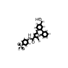 Cc1cc(C(=O)Nc2ccc(S(C)(=O)=O)cc2)c(C)n1-c1ccccc1-c1cccc(CO)c1